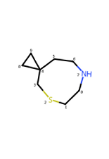 C1CSCC2(CCN1)CC2